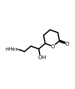 CCCCCCCCC(O)C1CCCC(=O)O1